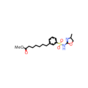 COC(=O)CCCCCCc1cccc(S(=O)(=O)NC2=NC(C)CO2)c1